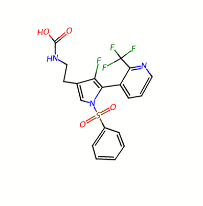 O=C(O)NCCc1cn(S(=O)(=O)c2ccccc2)c(-c2cccnc2C(F)(F)F)c1F